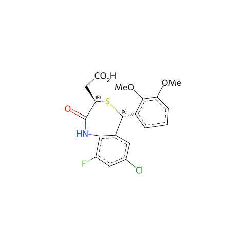 COc1cccc([C@H]2S[C@H](CC(=O)O)C(=O)Nc3c(F)cc(Cl)cc32)c1OC